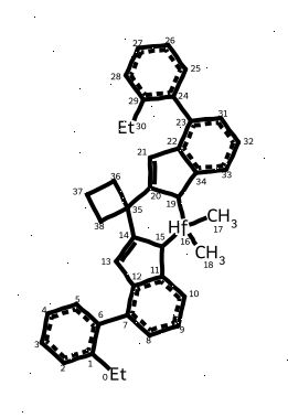 CCc1ccccc1-c1cccc2c1C=C1[CH]2[Hf]([CH3])([CH3])[CH]2C(=Cc3c(-c4ccccc4CC)cccc32)C12CCC2